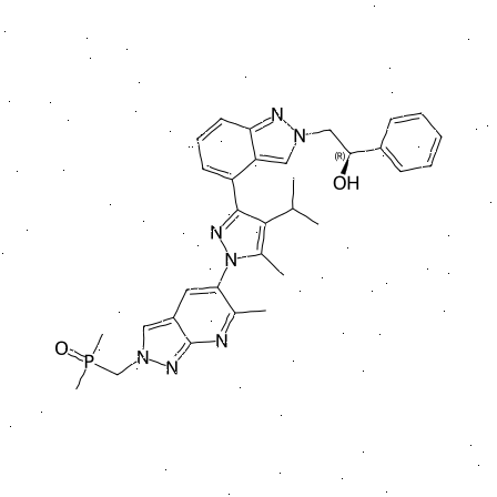 Cc1nc2nn(CP(C)(C)=O)cc2cc1-n1nc(-c2cccc3nn(C[C@H](O)c4ccccc4)cc23)c(C(C)C)c1C